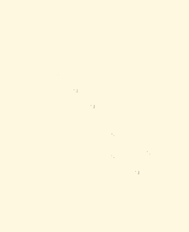 CCOC(=O)CNC(=O)NCCn1c(C)nc2c(N)nc(C)c(C)c21